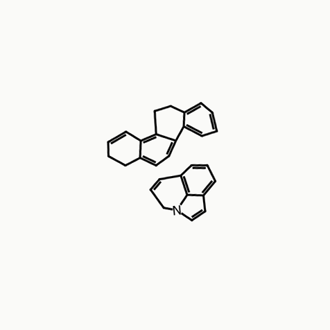 C1=Cc2c(ccc3c2CCc2ccccc2-3)CC1.C1=Cc2cccc3ccn(c23)C1